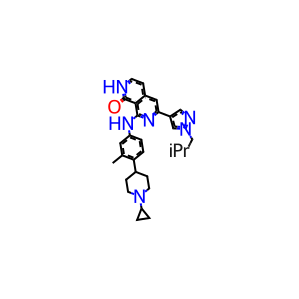 Cc1cc(Nc2nc(-c3cnn(CC(C)C)c3)cc3cc[nH]c(=O)c23)ccc1C1CCN(C2CC2)CC1